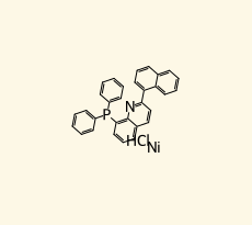 Cl.[Ni].c1ccc(P(c2ccccc2)c2cccc3ccc(-c4cccc5ccccc45)nc23)cc1